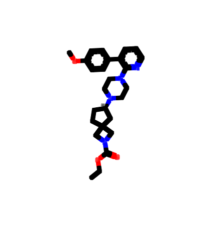 CCOC(=O)N1CC2(CC[C@@H](N3CCN(c4ncccc4-c4ccc(OC)cc4)CC3)C2)C1